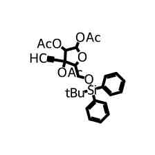 C#CC1(OC(C)=O)C(CO[Si](c2ccccc2)(c2ccccc2)C(C)(C)C)OC(OC(C)=O)C1OC(C)=O